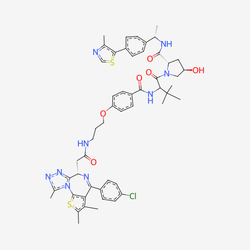 Cc1ncsc1-c1ccc([C@H](C)NC(=O)[C@@H]2C[C@@H](O)CN2C(=O)C(NC(=O)c2ccc(OCCCNC(=O)C[C@@H]3N=C(c4ccc(Cl)cc4)c4c(sc(C)c4C)-n4c(C)nnc43)cc2)C(C)(C)C)cc1